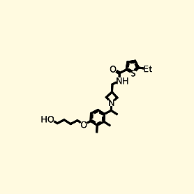 CCc1ccc(C(=O)NCC2CN(C(C)c3ccc(OCCCCO)c(C)c3C)C2)s1